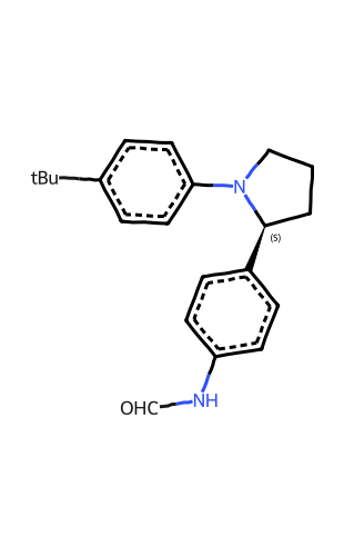 CC(C)(C)c1ccc(N2CCC[C@H]2c2ccc(NC=O)cc2)cc1